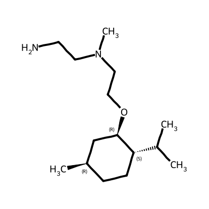 CC(C)[C@@H]1CC[C@@H](C)C[C@H]1OCCN(C)CCN